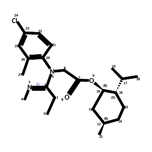 CC/C(=N\C)N(CC(=O)O[C@@H]1C[C@H](C)CC[C@H]1C(C)C)c1ccc(Cl)cc1C